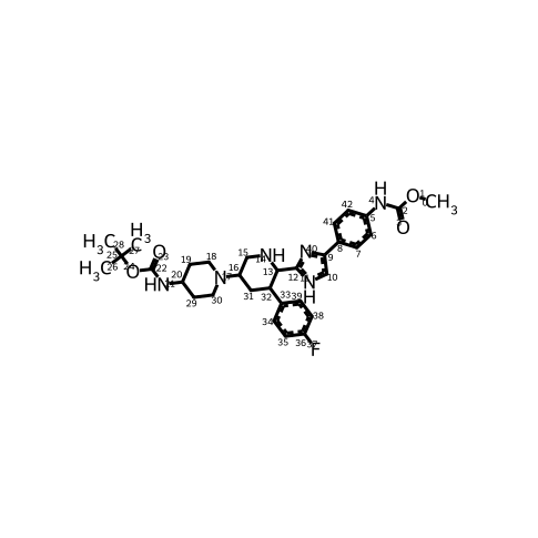 COC(=O)Nc1ccc(-c2c[nH]c(C3NCC(N4CCC(NC(=O)OC(C)(C)C)CC4)CC3c3ccc(F)cc3)n2)cc1